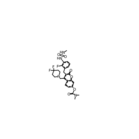 CNS(=O)(=O)Nc1cccc(Cc2c(CN3CCC(F)(F)CC3)c3ccc(OC(=O)N(C)C)cc3oc2=O)c1F